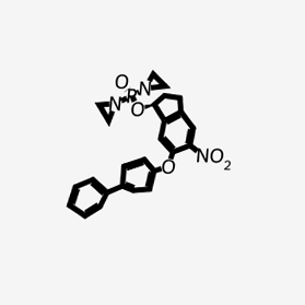 O=[N+]([O-])c1cc2c(cc1Oc1ccc(-c3ccccc3)cc1)[C@@H](OP(=O)(N1CC1)N1CC1)CC2